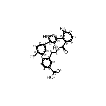 O=C(O)c1cccc(CCNC(=O)c2cccc(F)c2-c2cc(-c3ccc(F)cc3)[nH]n2)c1